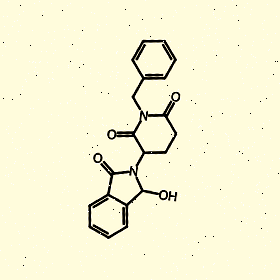 O=C1CCC(N2C(=O)c3ccccc3C2O)C(=O)N1Cc1ccccc1